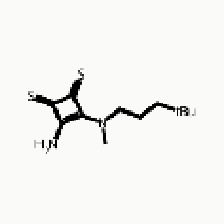 CN(CCCC(C)(C)C)c1c(N)c(=S)c1=S